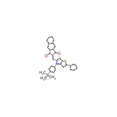 C[Si](C)(C)c1ccc(-n2c(C=C3C(=O)c4cc5ccccc5cc4C3=O)cc3sc(-c4ccccc4)cc32)cc1